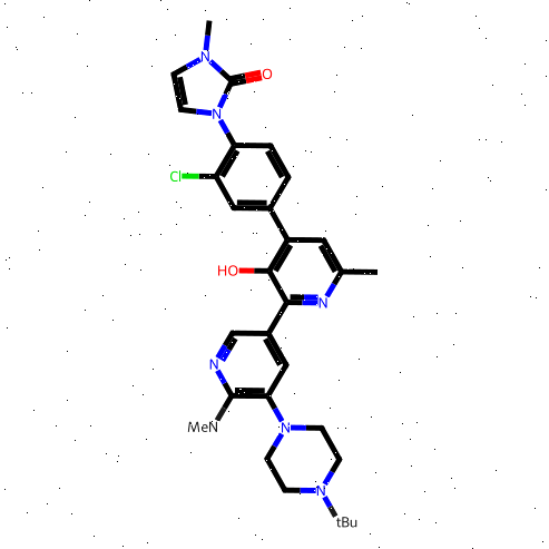 CNc1ncc(-c2nc(C)cc(-c3ccc(-n4ccn(C)c4=O)c(Cl)c3)c2O)cc1N1CCN(C(C)(C)C)CC1